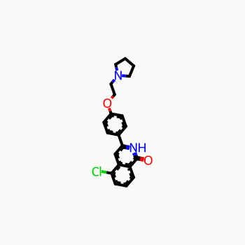 O=c1[nH]c(-c2ccc(OCCN3CCCC3)cc2)cc2c(Cl)cccc12